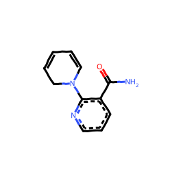 NC(=O)c1cccnc1N1C=CC=CC1